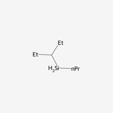 CCC[SiH2]C(CC)CC